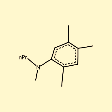 CCCN(C)c1cc(C)c(C)cc1C